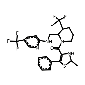 CC1NC(C(=O)N2CCCC(C(F)(F)F)C2CNc2ccc(C(F)(F)F)cn2)=C(c2ccccc2)S1